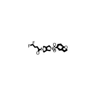 O=C(CCC(F)F)N1CC2=C(C1)CN(S(=O)(=O)c1ccc3occc3c1)C2